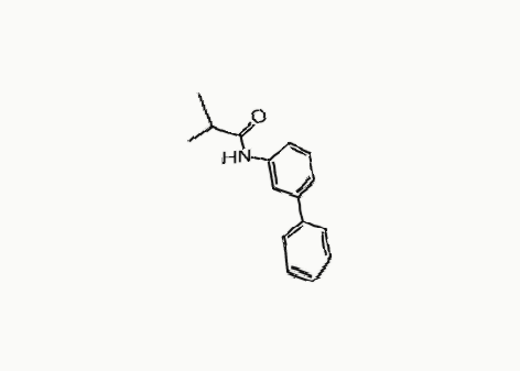 CC(C)C(=O)Nc1cccc(-c2ccccc2)c1